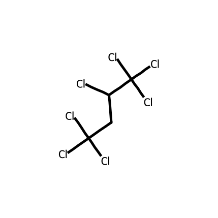 ClC(CC(Cl)(Cl)Cl)C(Cl)(Cl)Cl